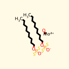 CCCCCCCCCCOP([O-])(=S)[S-].CCCCCCCCCCOP([O-])(=S)[S-].[O]=[Mo+4]